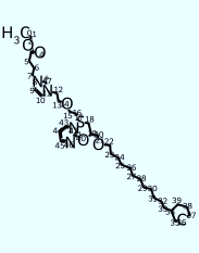 CCOC(=O)CCC=[N+]1C=CN(CCOCCSCC(COCCCCCCCCCCCCC2CCCCC2)Oc2ncccn2)C1